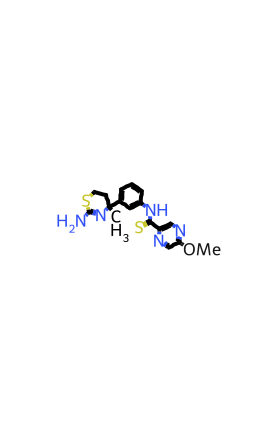 COc1cnc(C(=S)Nc2cccc(C3(C)CCSC(N)=N3)c2)cn1